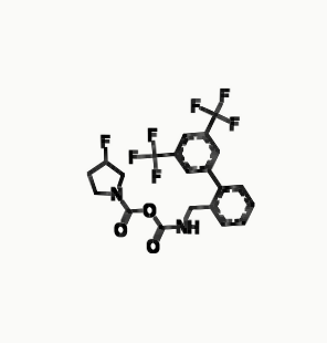 O=C(NCc1ccccc1-c1cc(C(F)(F)F)cc(C(F)(F)F)c1)OC(=O)N1CCC(F)C1